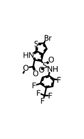 COC(=O)c1[nH]c2sc(Br)cc2c1S(=O)(=O)Nc1cc(F)c(C(F)(F)F)cc1F